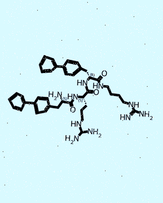 N=C(N)NCCCCNC(=O)[C@@H](Cc1ccc(-c2ccccc2)cc1)NC(=O)[C@H](CCCNC(N)N)NC(=O)[C@@H](N)Cc1ccc(-c2ccccc2)cc1